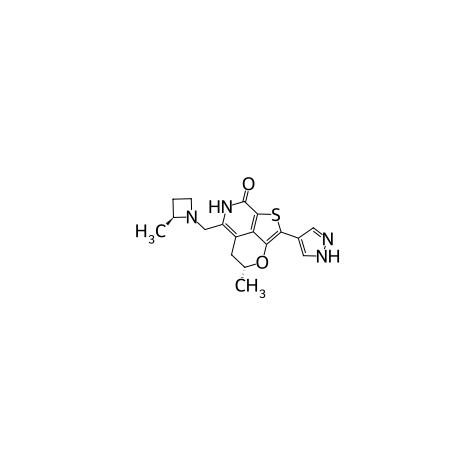 C[C@@H]1Cc2c(CN3CC[C@@H]3C)[nH]c(=O)c3sc(-c4cn[nH]c4)c(c23)O1